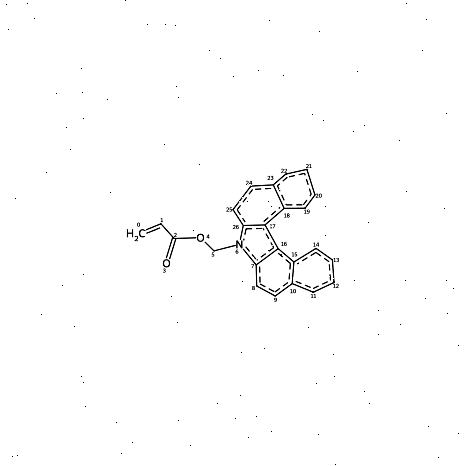 C=CC(=O)OCn1c2ccc3ccccc3c2c2c3ccccc3ccc21